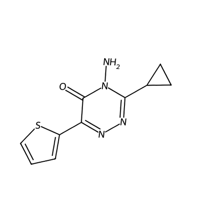 Nn1c(C2CC2)nnc(-c2cccs2)c1=O